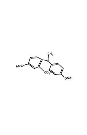 COc1ccc(N(C)c2ccc(OC)cc2C(=O)O)cc1